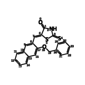 O=C1NC(=S)S/C1=C\c1cc2ccccc2cc1OCc1ccccc1